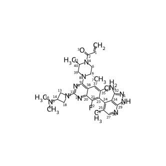 C=CC(=O)N1C[C@H](C)N(c2nc(N3CC(N(C)C)C3)nc3c(F)c(-c4c(C)cnc5[nH]nc(N)c45)c(Cl)cc23)C[C@H]1C